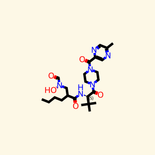 CCCCC(CN(O)C=O)C(=O)N[C@H](C(=O)N1CCN(C(=O)c2cnc(C)cn2)CC1)C(C)(C)C